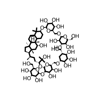 C[C@H](CC[C@@H](O[C@@H]1O[C@H](CO[C@@H]2C[C@H](CO)[C@@H](O)[C@H](O)[C@H]2O)[C@@H](O)[C@H](O)C1O[C@@H]1O[C@H](CO)[C@@H](O)[C@H](O)[C@H]1O)C(C)(C)O)[C@H]1CC[C@@]2(C)[C@@H]3CC=C4C(CC[C@H](O[C@@H]5O[C@H](CO[C@@H]6O[C@H](CO)[C@@H](O)[C@H](O)[C@H]6O)[C@@H](O)[C@H](O)[C@H]5O)C4(C)C)[C@]3(C)[C@H](O)C[C@]12C